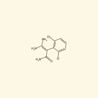 NC(=O)C(=C(N)N)c1c(Cl)cccc1Cl